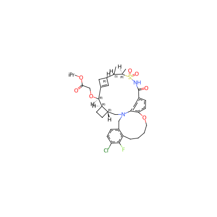 CC(C)OC(=O)CO[C@H]1C2=C[C@@H](C2)[C@H](C)[C@@H](C)S(=O)(=O)NC(=O)c2ccc3c(c2)N(Cc2ccc(Cl)c(F)c2CCCCO3)C[C@@H]2CC[C@H]21